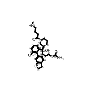 CNCCCC(=O)N1CCC[C@@H]([C@@](O)(CCCOC(N)=O)c2cccc(Cl)c2-c2ccc3c(c2)OCC3)C1